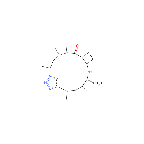 CC1CC(C)C(C(=O)O)NC2CCC2C(=O)C(C)C(C)CC(C)n2cc1nn2